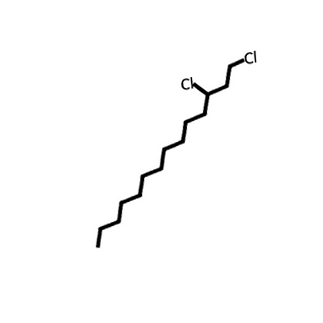 CCCCCCCCCCCC(Cl)CCCl